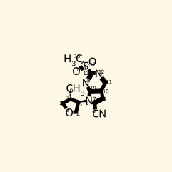 C[C@H]1COC[C@@H]1n1c(C#N)cc2cnc(S(C)(=O)=O)nc21